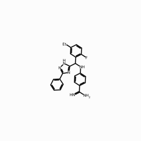 CCc1ccc(F)c(C(Nc2ccc(C(=N)N)cc2)c2nc(-c3ccccc3)n[nH]2)c1